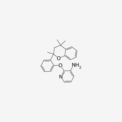 CC1(C)CC(C)(c2ccccc2Oc2ncccc2N)Oc2ccccc21